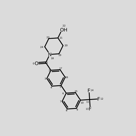 O=C(c1ccc(-c2cccc(C(F)(F)F)c2)cc1)N1CCC(O)CC1